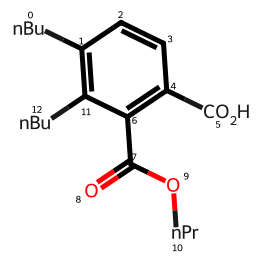 CCCCc1ccc(C(=O)O)c(C(=O)OCCC)c1CCCC